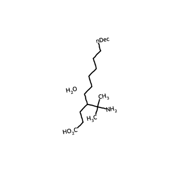 CCCCCCCCCCCCCCCCC(CCC(=O)O)C(C)(C)N.O